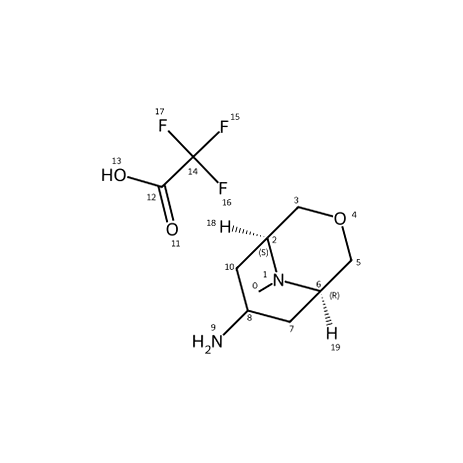 CN1[C@@H]2COC[C@H]1CC(N)C2.O=C(O)C(F)(F)F